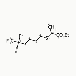 CCOC(=O)C(C)SCCCCC(F)(F)C(F)(F)F